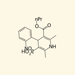 CCCOC(=O)C1=C(C)NC(C)=C(C(=O)O)C1c1ccccc1[N+](=O)[O-]